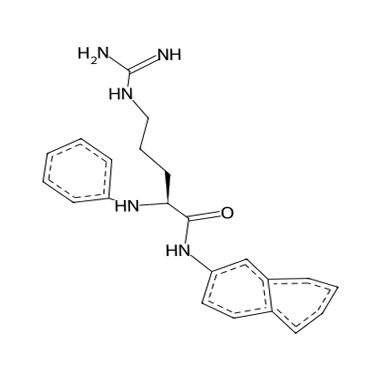 N=C(N)NCCC[C@H](Nc1ccccc1)C(=O)Nc1ccc2ccccc2c1